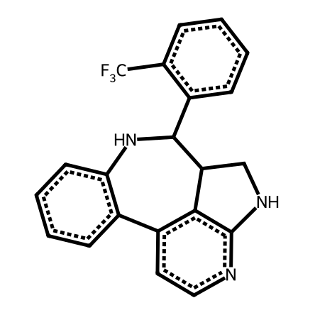 FC(F)(F)c1ccccc1C1Nc2ccccc2-c2ccnc3c2C1CN3